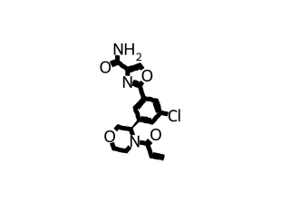 C=CC(=O)N1CCOC[C@H]1c1cc(Cl)cc(-c2nc(C(N)=O)co2)c1